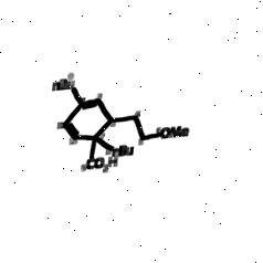 CCCCC1=CC(CCOC)C(CCCC)(C(=O)O)C=C1